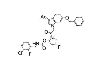 CC(=O)c1cn(CC(=O)N2C[C@H](F)C[C@@H]2OC(=O)NCc2cccc(Cl)c2F)c2cc(OCc3ccccc3)ccc12